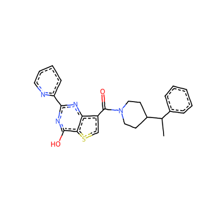 CC(c1ccccc1)C1CCN(C(=O)c2csc3c(O)nc(-c4ccccn4)nc23)CC1